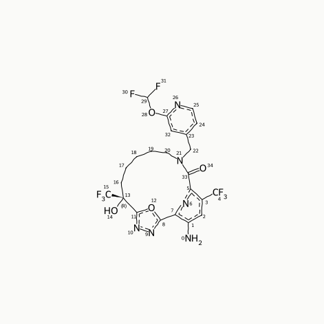 Nc1cc(C(F)(F)F)c2nc1-c1nnc(o1)[C@@](O)(C(F)(F)F)CCCCCN(Cc1ccnc(OC(F)F)c1)C2=O